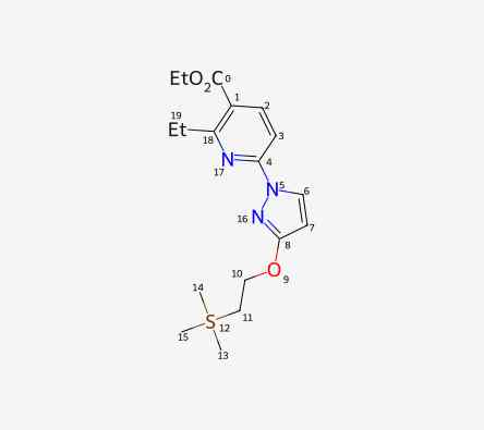 CCOC(=O)c1ccc(-n2ccc(OCCS(C)(C)C)n2)nc1CC